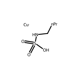 CCCCNS(=O)(=O)O.[Cu]